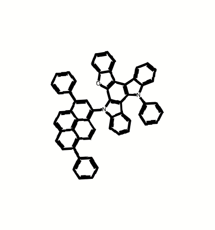 c1ccc(-c2ccc3ccc4c(-c5ccccc5)cc(-n5c6ccccc6c6c5c5oc7ccccc7c5c5c7ccccc7n(-c7ccccc7)c56)c5ccc2c3c45)cc1